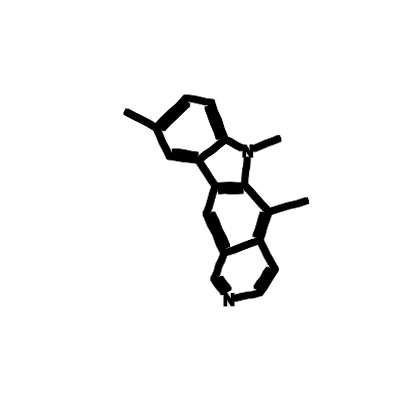 Cc1ccc2c(c1)c1cc3cnccc3c(C)c1n2C